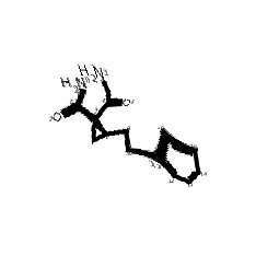 NC(=O)C1(C(N)=O)CC1CCc1ccccc1